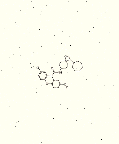 C[N+]1(CC2CCCCCC2)CCC(NC(=O)C2c3cc(Cl)ccc3Oc3ccc(Cl)cc32)CC1.[I-]